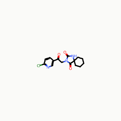 O=C(CN1C(=O)NC2(CCCCC2)C1=O)c1ccc(Cl)nc1